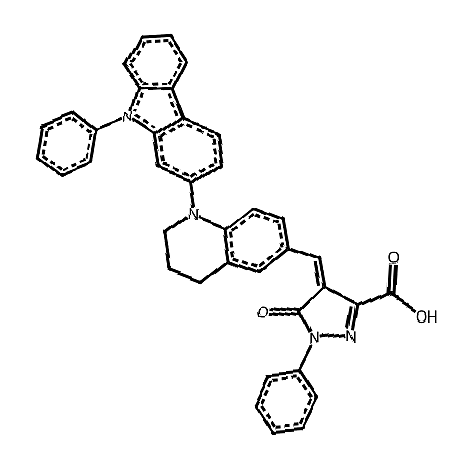 O=C(O)C1=NN(c2ccccc2)C(=O)/C1=C\c1ccc2c(c1)CCCN2c1ccc2c3ccccc3n(-c3ccccc3)c2c1